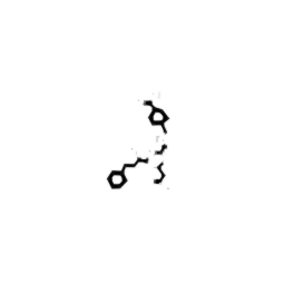 N=C(N)c1ccc(CNC(=O)[C@H](CCCC(=O)O)NC(=O)[C@H](N)CCc2ccccc2)cc1